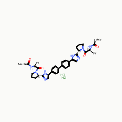 COC(=O)N[C@H](C(=O)N1CCC[C@H]1c1ncc(-c2ccc(-c3ccc(-c4cnc([C@@H]5CCCN5C(=O)[C@@H](NC(=O)OC)C(C)C)[nH]4)cc3)cc2)[nH]1)C(C)C.Cl.Cl